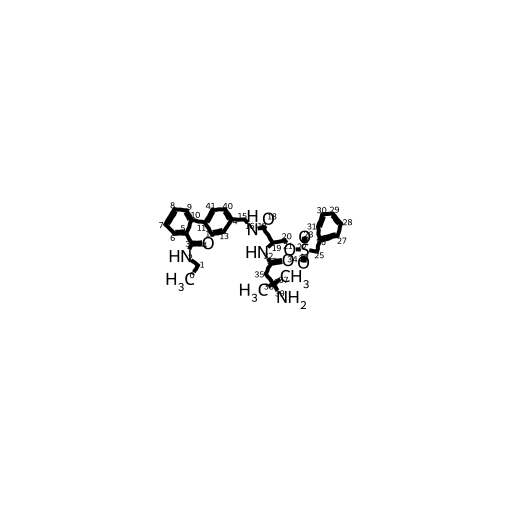 CCNC(=O)c1ccccc1-c1ccc(CNC(=O)C(COS(=O)(=O)Cc2ccccc2)NC(=O)CC(C)(C)N)cc1